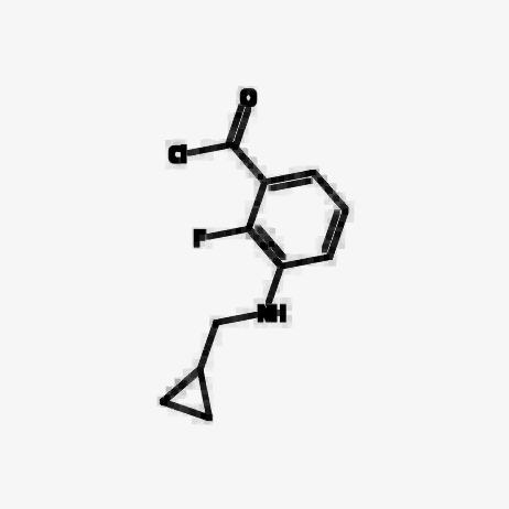 O=C(Cl)c1cccc(NCC2CC2)c1F